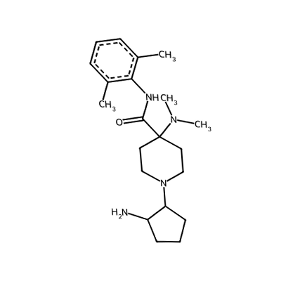 Cc1cccc(C)c1NC(=O)C1(N(C)C)CCN(C2CCCC2N)CC1